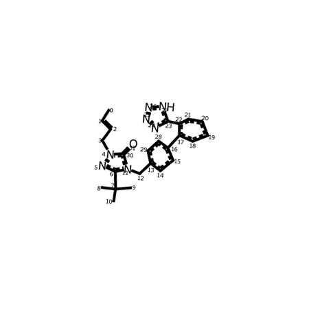 C/C=C/Cn1nc(C(C)(C)C)n(Cc2ccc(-c3ccccc3-c3nnn[nH]3)cc2)c1=O